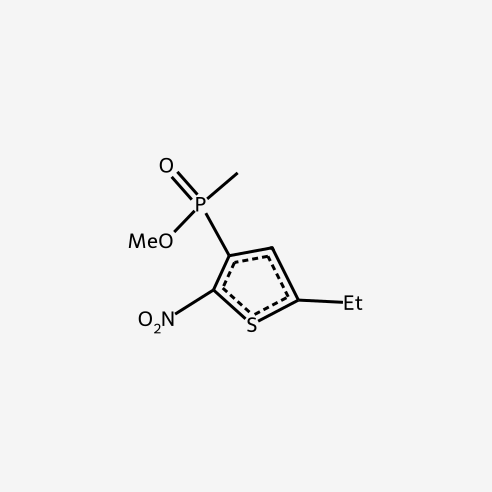 CCc1cc(P(C)(=O)OC)c([N+](=O)[O-])s1